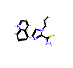 CCCn1ccnc1C(N)=S.c1ccc2ncccc2c1